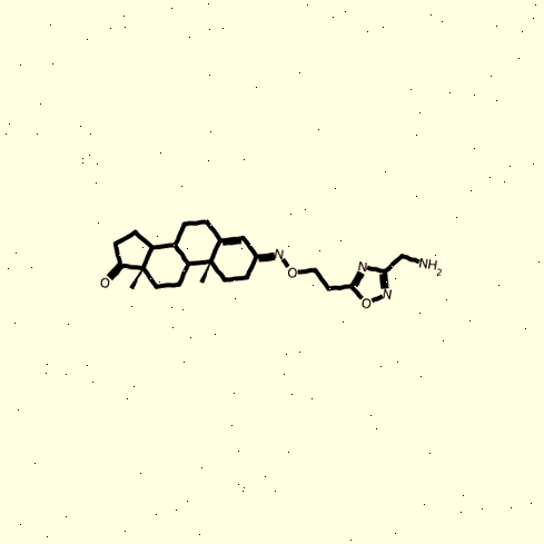 C[C@]12CCC(=NOCCc3nc(CN)no3)C=C1CCC1C2CC[C@]2(C)C(=O)CCC12